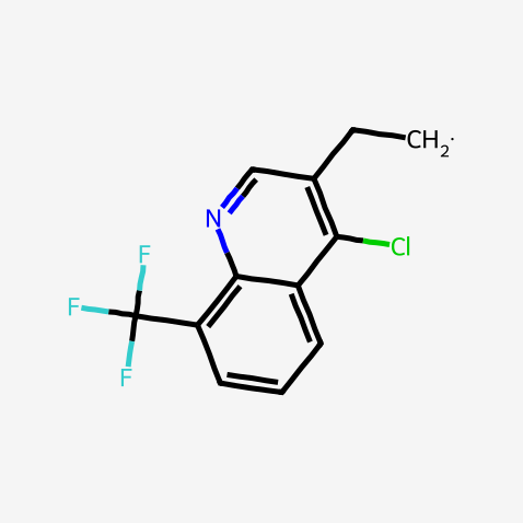 [CH2]Cc1cnc2c(C(F)(F)F)cccc2c1Cl